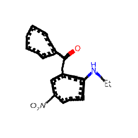 CCNc1ccc([N+](=O)[O-])cc1C(=O)c1ccccc1